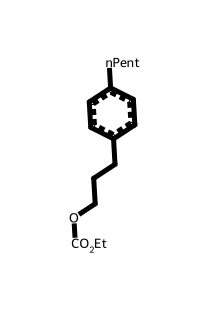 CCCCCc1ccc(CCCOC(=O)OCC)cc1